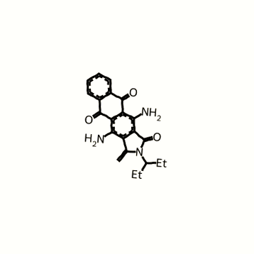 C=C1c2c(N)c3c(c(N)c2C(=O)N1C(CC)CC)C(=O)c1ccccc1C3=O